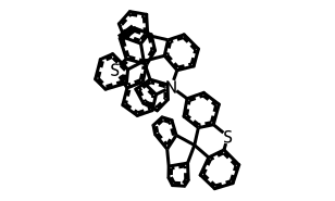 c1ccc2c(c#1)sc1cccc(N(c3ccc4c(c3)C3(c5ccccc5S4)c4ccccc4-c4ccccc43)c3cccc4c3C(c3ccccc3)(c3ccccc3)c3ccccc3-4)c12